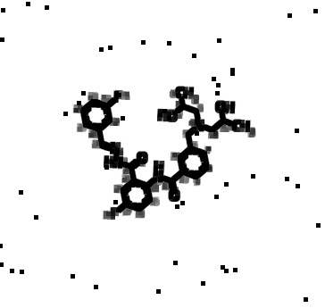 CC(O)CN(Cc1cccc(C(=O)Nc2ccc(F)cc2C(=O)NN=Cc2cccc(F)c2)c1)CC(C)O